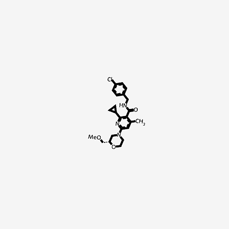 COC[C@@H]1CN(c2cc(C)c(C(=O)NCc3ccc(Cl)cc3)c(C3CC3)n2)CCO1